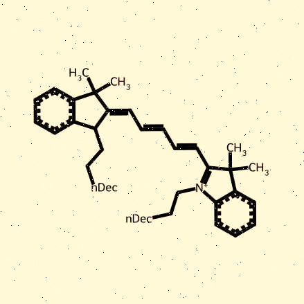 CCCCCCCCCCCCC1\C(=C/C=C/C=C/C2=[N+](CCCCCCCCCCCC)c3ccccc3C2(C)C)C(C)(C)c2ccccc21